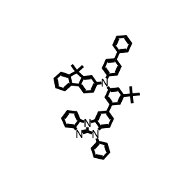 CC(C)(C)c1cc(-c2ccc3c(c2)n2c4ccccc4nc2n3-c2ccccc2)cc(N(c2ccc(-c3ccccc3)cc2)c2ccc3c(c2)C(C)(C)c2ccccc2-3)c1